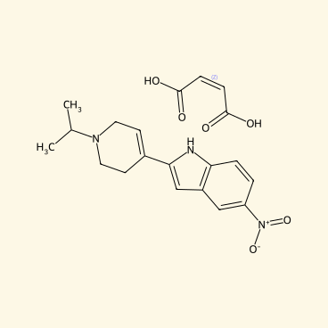 CC(C)N1CC=C(c2cc3cc([N+](=O)[O-])ccc3[nH]2)CC1.O=C(O)/C=C\C(=O)O